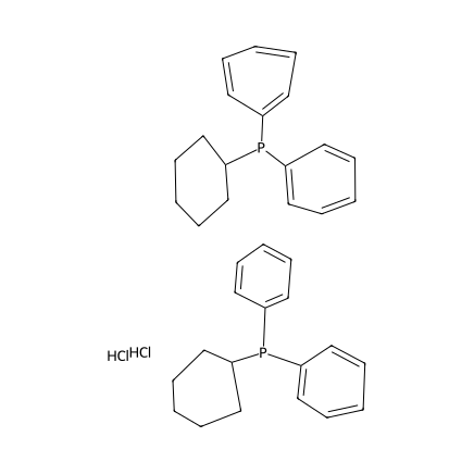 Cl.Cl.c1ccc(P(c2ccccc2)C2CCCCC2)cc1.c1ccc(P(c2ccccc2)C2CCCCC2)cc1